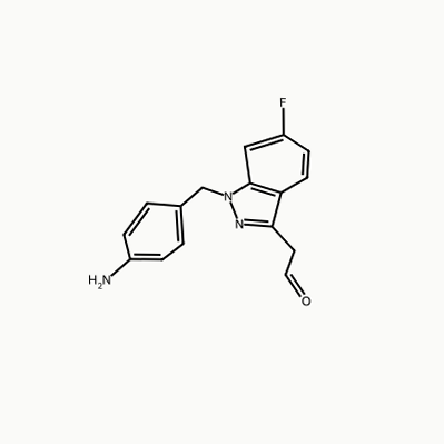 Nc1ccc(Cn2nc(CC=O)c3ccc(F)cc32)cc1